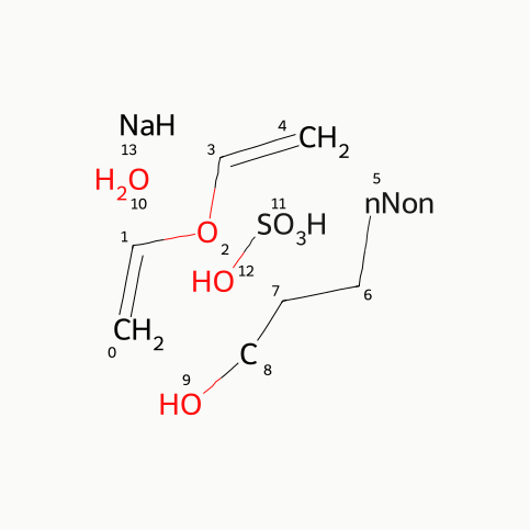 C=COC=C.CCCCCCCCCCCCO.O.O=S(=O)(O)O.[NaH]